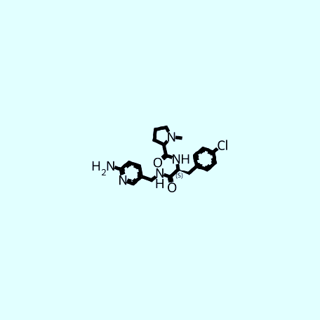 CN1CCCC1C(=O)N[C@@H](Cc1ccc(Cl)cc1)C(=O)NCc1ccc(N)nc1